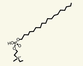 CCCCCCCCCCCCCCCCCCOP(=O)(O)OCC[N+](C)(C)CC